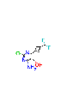 Nc1nc(Cl)nc(C23CC(C(F)F)(C2)C3)c1CO